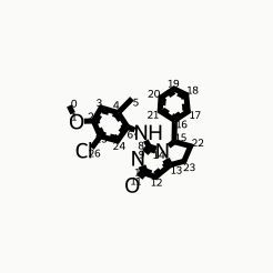 COc1cc(C)c(Nc2nc(=O)cc3n2C(c2ccccc2)CC3)cc1Cl